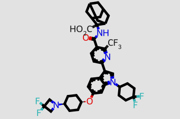 O=C(NC1(C(=O)O)C2CC3CC(C2)CC1C3)c1ccc(-c2cn(C3CCC(F)(F)CC3)c3cc(O[C@H]4CC[C@H](N5CC(F)(F)C5)CC4)ccc23)nc1C(F)(F)F